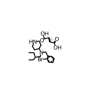 CCC(CC)CN(Cc1ccccc1Br)C1CCNCC1.O=C(O)/C=C/C(=O)O